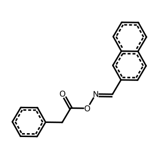 O=C(Cc1ccccc1)ON=Cc1ccc2ccccc2c1